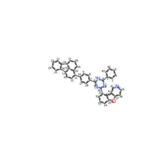 c1ccc(-c2nc(-c3ccc(-c4ccc5c6c(cccc46)-c4ccccc4-5)cc3)nc(-c3cccc4oc5ccncc5c34)n2)cc1